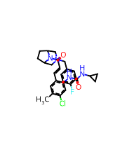 Cc1cc(/C=C/C(=O)N2C3CCC2CN(Cc2ccc(F)cc2)C3)c(NC(=O)NC2CC2)cc1Cl